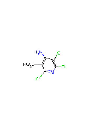 Nc1c(Cl)c(Cl)nc(Cl)c1C(=O)O